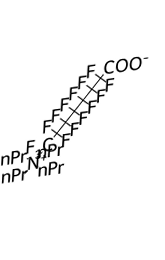 CCC[N+](CCC)(CCC)CCC.O=C([O-])C(F)(F)C(F)(F)C(F)(F)C(F)(F)C(F)(F)C(F)(F)C(F)(F)F